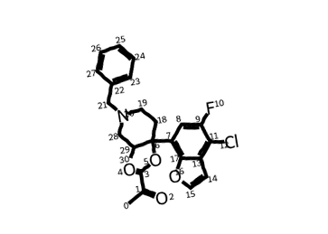 CC(=O)C(=O)OC1(c2cc(F)c(Cl)c3ccoc23)CCN(Cc2ccccc2)CC1C